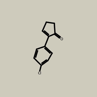 O=C1CCC=C1c1ccc(Cl)cc1